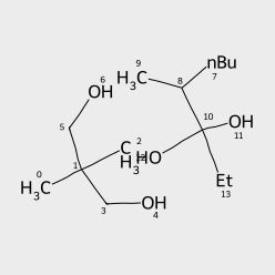 CC(C)(CO)CO.CCCCC(C)C(O)(O)CC